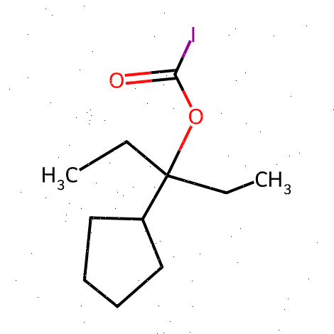 CCC(CC)(OC(=O)I)C1CCCC1